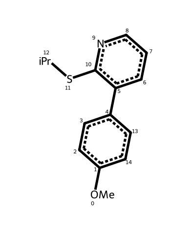 COc1ccc(-c2cccnc2SC(C)C)cc1